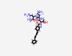 CNC(=O)C(CCN)NC(=O)C(CCN)NC(=O)C(NC(=O)c1ccc(C#CC#Cc2ccccc2)cc1)C(C)O